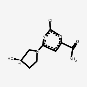 NC(=O)c1cc(N2CC[C@@H](O)C2)nc(Cl)n1